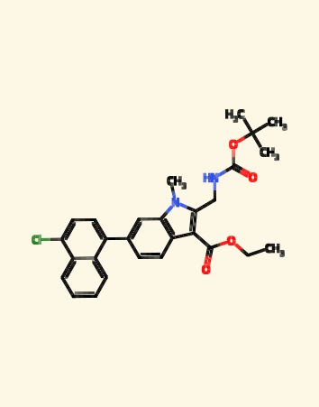 CCOC(=O)c1c(CNC(=O)OC(C)(C)C)n(C)c2cc(-c3ccc(Cl)c4ccccc34)ccc12